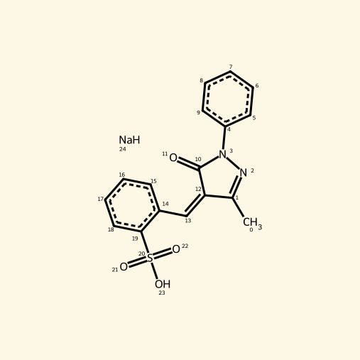 CC1=NN(c2ccccc2)C(=O)C1=Cc1ccccc1S(=O)(=O)O.[NaH]